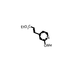 CCOC(=O)C=Cc1ccnc(OC)c1